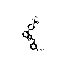 COc1cccc(Sc2cc3c(N4CCN(C(=O)OC(C)(C)C)CC4)nccc3s2)c1